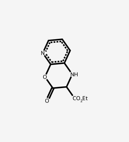 CCOC(=O)C1Nc2cccnc2OC1=O